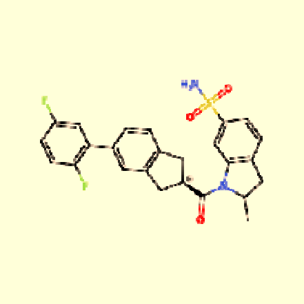 CC1Cc2ccc(S(N)(=O)=O)cc2N1C(=O)[C@@H]1Cc2ccc(-c3cc(F)ccc3F)cc2C1